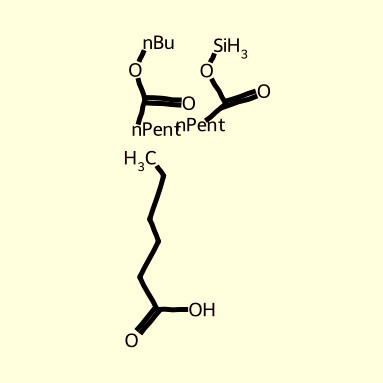 CCCCCC(=O)O.CCCCCC(=O)OCCCC.CCCCCC(=O)O[SiH3]